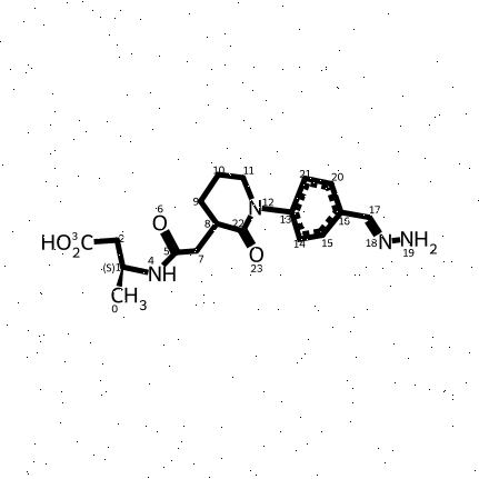 C[C@@H](CC(=O)O)NC(=O)CC1CCCN(c2ccc(C=NN)cc2)C1=O